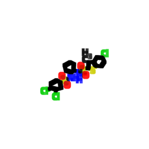 Cc1c(S(=O)(=O)Nc2ccccc2NS(=O)(=O)c2ccc(Cl)c(Cl)c2)sc2ccc(Cl)cc12